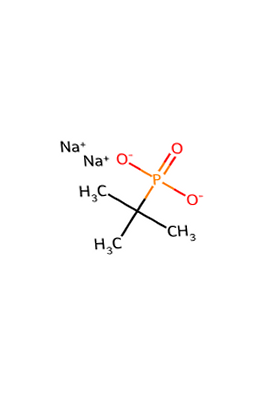 CC(C)(C)P(=O)([O-])[O-].[Na+].[Na+]